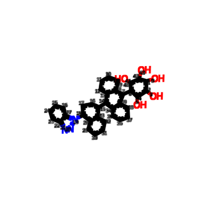 Oc1c(O)c(O)c(-c2c3ccccc3c(-c3ccc(-n4nnc5ccccc54)c4ccccc34)c3ccccc23)c(O)c1O